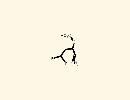 C=CC(CC(F)F)OC(=O)O